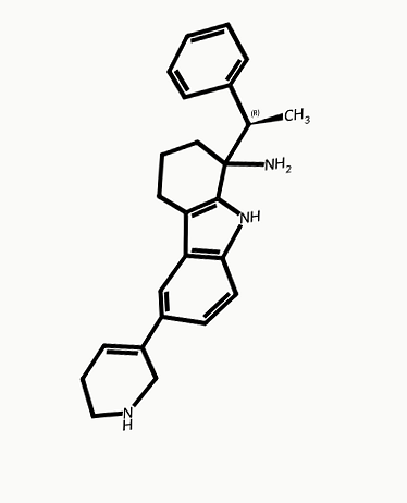 C[C@H](c1ccccc1)C1(N)CCCc2c1[nH]c1ccc(C3=CCCNC3)cc21